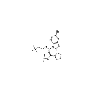 CC(C)(C)OC(=O)N1CCC[C@H]1c1nc2cc(Br)cnc2n1COCC[Si](C)(C)C